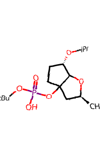 CC(C)O[C@H]1CCC2(OP(=O)(O)OC(C)(C)C)C[C@H](C)OC12